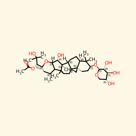 CC(=O)O[C@@H]([C@H]1C[C@@H](C)C2[C@H](O1)[C@H](O)[C@@]1(C)[C@@H]3CC[C@H]4C(C)(C)[C@@H](O[C@@H]5OC[C@@H](O)[C@H](O)[C@H]5O)CC[C@@]45C[C@@]35CC[C@]21C)C(C)(C)O